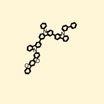 c1ccc(-c2cccc(-n3c4ccccc4c4ccc(-c5ccc6c(c5)c5cc(-c7ccc8c(c7)c7ccccc7n8-c7ccc8oc9cc%10c(cc9c8c7)oc7ccccc7%10)ccc5n6-c5ccccc5)cc43)c2)cc1